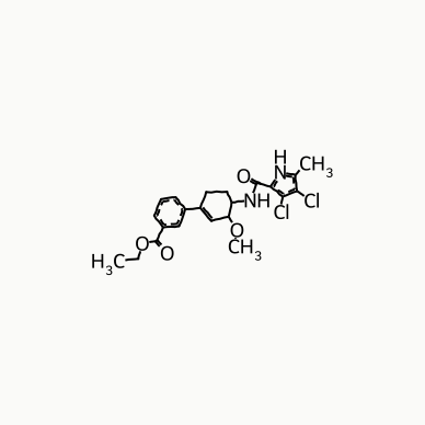 CCOC(=O)c1cccc(C2=CC(OC)C(NC(=O)c3[nH]c(C)c(Cl)c3Cl)CC2)c1